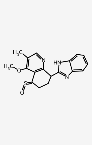 COc1c(C)cnc2c1C(=S=O)CCC2c1nc2ccccc2[nH]1